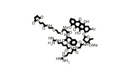 COc1cccc2c1C(=O)c1c(O)c3c(c(O)c1C2=O)CC(C(C)=O)CC3OC1CC(NC(=O)CNC(=O)C(CCCNC(=N)N)NC(=O)C(CCCNC(=N)N)NC(=O)C(Cc2ccccc2)NC(=O)CCOCCOCCNC(=O)CCN2C(=O)C=CC2=O)C(OC)C(C)O1